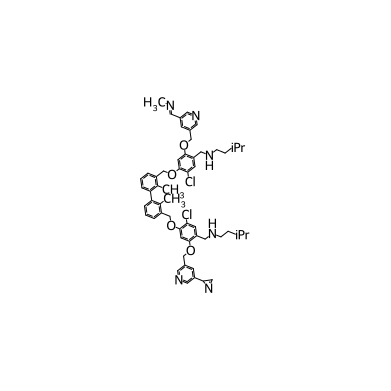 C/N=C/c1cncc(COc2cc(OCc3cccc(-c4cccc(COc5cc(OCc6cncc(C7C=N7)c6)c(CNCCC(C)C)cc5Cl)c4C)c3C)c(Cl)cc2CNCCC(C)C)c1